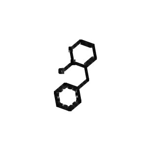 ClN1SC=CC=C1Cc1ccccc1